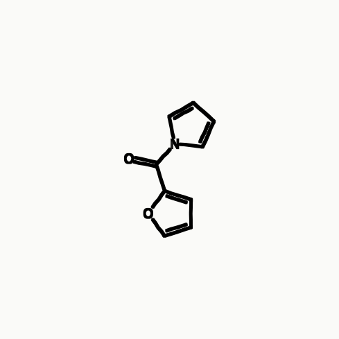 O=C(c1ccco1)n1cccc1